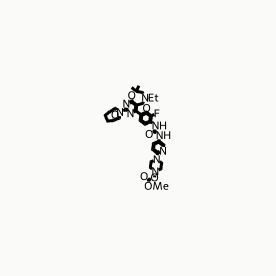 CCN1CC(C)(C)Oc2nc(N3CC4CCC(C3)O4)nc(-c3ccc(NC(=O)Nc4ccc(N5CCN(OC(=O)OC)CC5)nc4)c(F)c3)c2C1=O